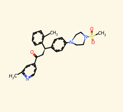 Cc1cc(C(=O)C[C@H](c2ccc(N3CCN(S(C)(=O)=O)CC3)cc2)c2ccccc2C)ccn1